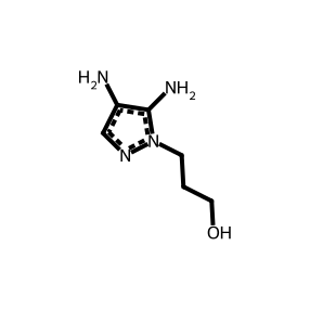 Nc1cnn(CCCO)c1N